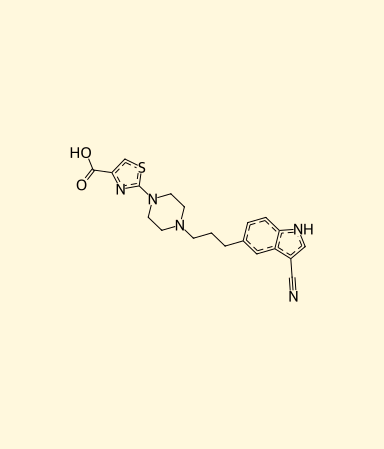 N#Cc1c[nH]c2ccc(CCCN3CCN(c4nc(C(=O)O)cs4)CC3)cc12